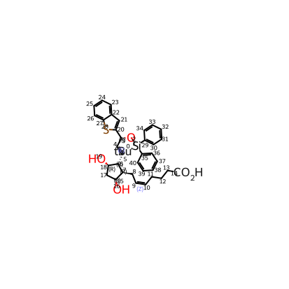 CC(C)(C)[Si](O[C@H](/C=C/[C@@H]1[C@@H](C/C=C\CCCC(=O)O)[C@@H](O)C[C@H]1O)c1cc2ccccc2s1)(c1ccccc1)c1ccccc1